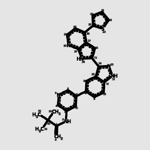 C=C(Nc1cncc(-c2ccc3[nH]nc(-c4cc5c(-c6cccs6)ccnc5[nH]4)c3c2)c1)C(C)(C)C